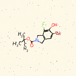 CC(C)(C)OC(=O)N1Cc2cc(Br)c(O)c(F)c2C1